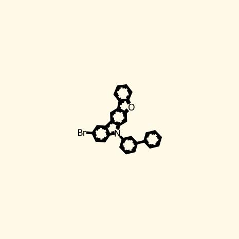 Brc1ccc2c(c1)c1cc3c(cc1n2-c1cccc(-c2ccccc2)c1)oc1ccccc13